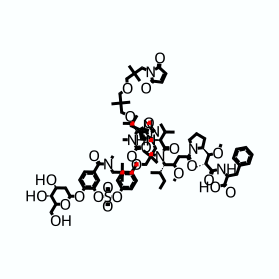 CCC(C)[C@@H](C(CC(=O)N1CCC[C@H]1C(OC)[C@@H](C)C(=O)NC(Cc1ccccc1)C(=O)O)OC)N(C)C(=O)[C@@H](NC(=O)[C@H](C(C)C)N(C)C(=O)OCc1ccc(OS(=O)(=O)Oc2cc(C(=O)N(C)CC(C)(C)COCC(C)(C)Cn3cc(COCC(C)(C)COCC(C)(C)CN4C(=O)C=CC4=O)nn3)ccc2OC2C[C@@H](O)[C@@H](O)C(CO)O2)cc1)C(C)C